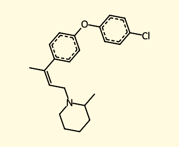 CC(=CCN1CCCCC1C)c1ccc(Oc2ccc(Cl)cc2)cc1